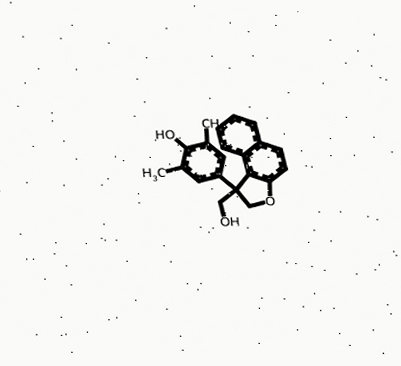 Cc1cc(C2(CO)COc3ccc4ccccc4c32)cc(C)c1O